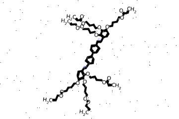 C=CCOOCCCCOc1ccc(/C=C/c2ccc(-c3ccc(/C=C/c4ccc(OCCCCOC(=O)C=C)c(OCCCCOC(=O)C=C)c4OCCCCOOCC=C)cc3)cc2)c(OCCCCOC(=O)C=C)c1OCCCCOOCC=C